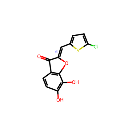 O=C1/C(=C/c2ccc(Cl)s2)Oc2c1ccc(O)c2O